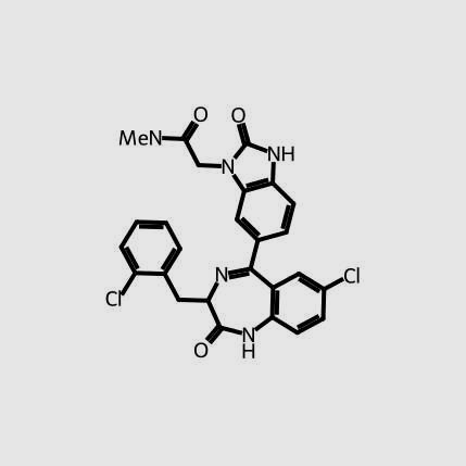 CNC(=O)Cn1c(=O)[nH]c2ccc(C3=NC(Cc4ccccc4Cl)C(=O)Nc4ccc(Cl)cc43)cc21